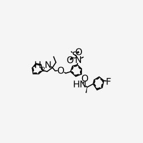 CCC(N)(COCc1cc(ON[C@H](C)c2ccc(F)cc2)cc(N(C)S(C)(=O)=O)c1)Cc1ccccc1